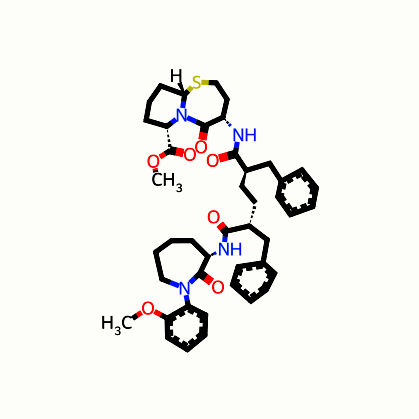 COC(=O)[C@@H]1CCC[C@@H]2SCC[C@H](NC(=O)[C@H](CC[C@H](Cc3ccccc3)C(=O)N[C@H]3CCCCN(c4ccccc4OC)C3=O)Cc3ccccc3)C(=O)N21